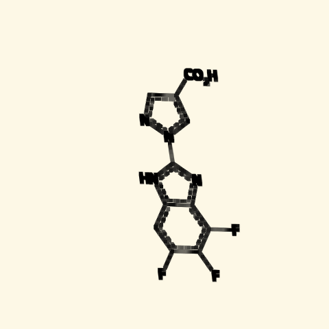 O=C(O)c1cnn(-c2nc3c(F)c(F)c(F)cc3[nH]2)c1